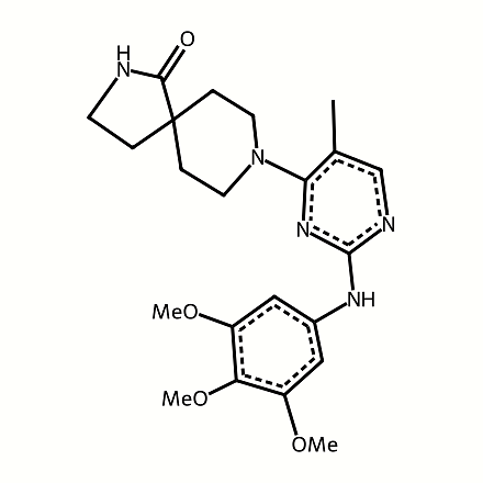 COc1cc(Nc2ncc(C)c(N3CCC4(CCNC4=O)CC3)n2)cc(OC)c1OC